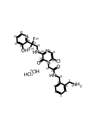 Cl.Cl.NCc1ccccc1CNC(=O)Cn1c(Cl)cnc(NCC(F)(F)c2ncccc2O)c1=O